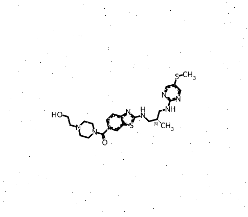 CSc1cnc(NC[C@H](C)CNc2nc3ccc(C(=O)N4CCN(CCO)CC4)cc3s2)nc1